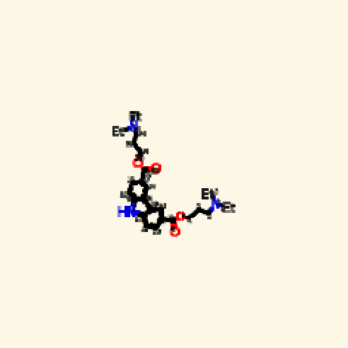 CCN(CC)CCCOC(=O)c1ccc2[nH]c3ccc(C(=O)OCCCN(CC)CC)cc3c2c1